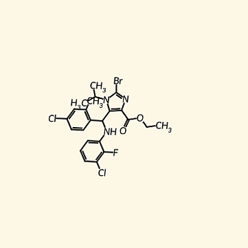 CCOC(=O)c1nc(Br)n(C(C)C)c1C(Nc1cccc(Cl)c1F)c1ccc(Cl)cc1C